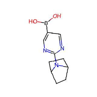 OB(O)c1cnc(N2C3CCC2CC3)nc1